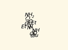 CCc1nn(CCNC(=O)OC(C)(C)C)c(CC)c1S(=O)(=O)c1ccc(N)cc1